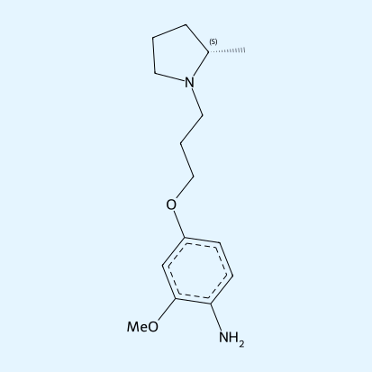 COc1cc(OCCCN2CCC[C@@H]2C)ccc1N